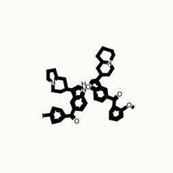 COc1ccccc1C(=O)c1ccc2occ(C3CCN4CCCCC4C3)c2c1.O=C(c1ccc(I)cc1)c1ccc2[nH]cc(C3CCN4CCCC4C3)c2c1